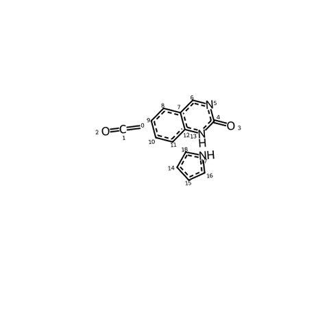 C=C=O.O=c1ncc2ccccc2[nH]1.c1cc[nH]c1